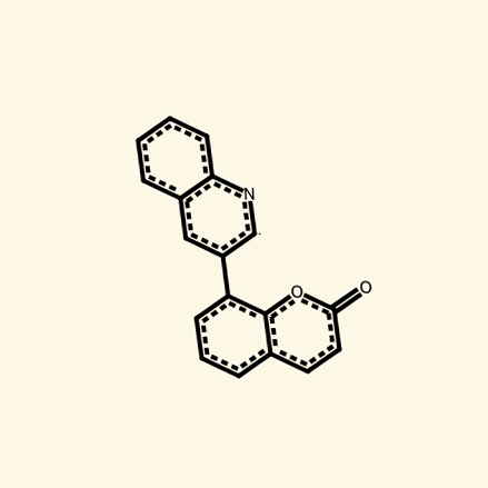 O=c1ccc2cccc(-c3[c]nc4ccccc4c3)c2o1